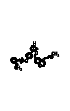 COCCCN1CCOc2ccc(CO[C@H]3CNCC[C@@H]3c3ccc(OC4CN(c5ccccc5OC)C4)cc3)cc21